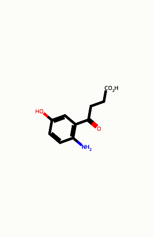 Nc1ccc(O)cc1C(=O)CCC(=O)O